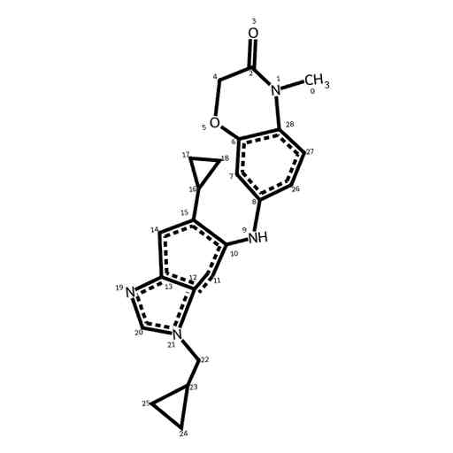 CN1C(=O)COc2cc(Nc3cc4c(cc3C3CC3)ncn4CC3CC3)ccc21